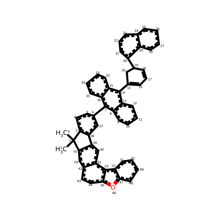 CC1(C)c2ccc(-c3c4ccccc4c(C4=CC=CC(c5cccc6ccccc56)C4)c4ccccc34)cc2-c2cc3c(ccc4oc5ccccc5c43)cc21